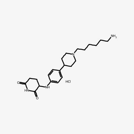 Cl.NCCCCCCN1CCC(c2ccc(NC3CCC(=O)NC3=O)cc2)CC1